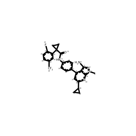 Cn1nc(N)c2c(-c3ccc(NC(=O)C4(c5cc(C(F)(F)F)ccc5F)CC4)cc3)cc(C3CC3)nc21